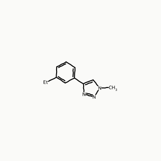 CCc1cccc(-c2cn(C)nn2)c1